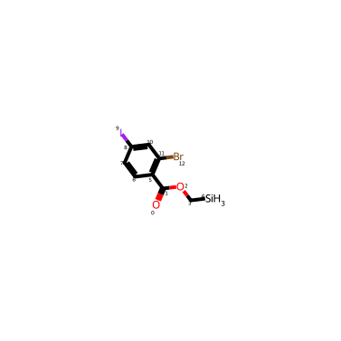 O=C(OC[SiH3])c1ccc(I)cc1Br